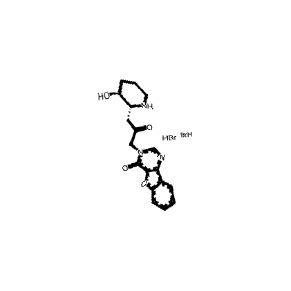 Br.Br.O=C(C[C@H]1NCCC[C@@H]1O)Cn1cnc2c(oc3ccccc32)c1=O